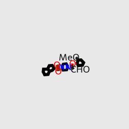 COc1ccccc1OC(C=O)N1CCN(S(=O)(=O)c2ccc3ccccc3c2)CC1